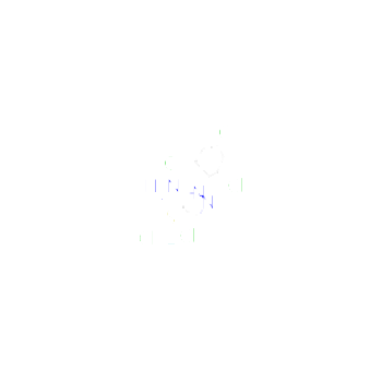 Nc1c(SC(F)(Cl)Cl)cnn1-c1c(Cl)cc(Cl)cc1Cl